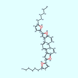 CCCCCCc1ccc(-c2cc3c(o2)C=CC2C3=CC=C3c4cc(-c5ccc(CCCCCC)o5)oc4C=CC32)o1